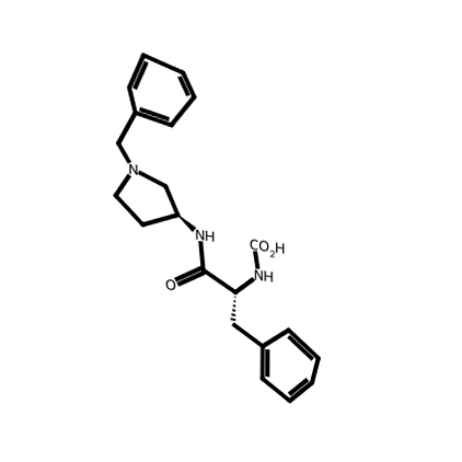 O=C(O)N[C@H](Cc1ccccc1)C(=O)N[C@H]1CCN(Cc2ccccc2)C1